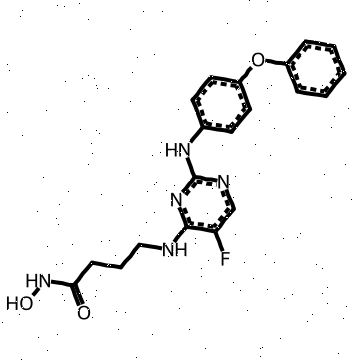 O=C(CCCNc1nc(Nc2ccc(Oc3ccccc3)cc2)ncc1F)NO